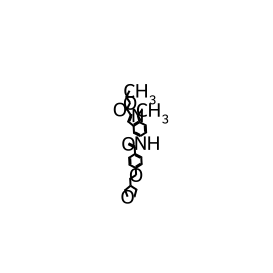 CCOC(=O)c1cc2cc(NC(=O)c3ccc(OCC4CCOC4)cc3)ccc2n1C